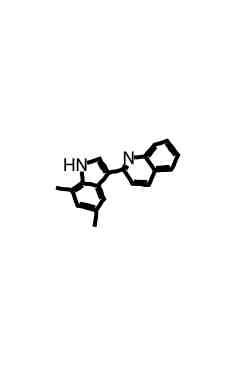 Cc1cc(C)c2[nH]cc(-c3ccc4ccccc4n3)c2c1